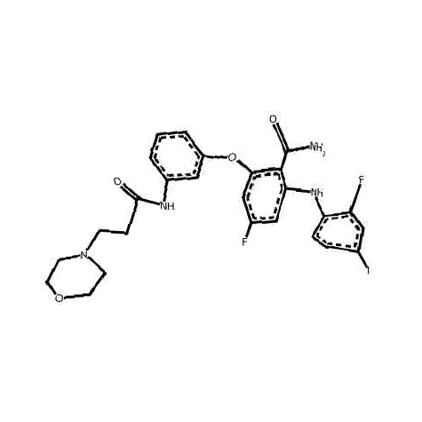 NC(=O)c1c(Nc2ccc(I)cc2F)cc(F)cc1Oc1cccc(NC(=O)CCN2CCOCC2)c1